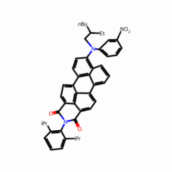 CCCCC(CC)CN(c1cccc([N+](=O)[O-])c1)c1ccc2c3ccc4c5c(ccc(c6cccc1c62)c53)C(=O)N(c1c(C(C)C)cccc1C(C)C)C4=O